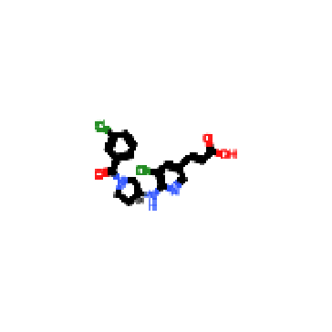 O=C(O)C=Cc1cnc(N[C@@H]2CCN(C(=O)c3cccc(Cl)c3)C2)c(Cl)c1